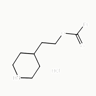 CCC(=O)OCCC1CCNCC1.Cl